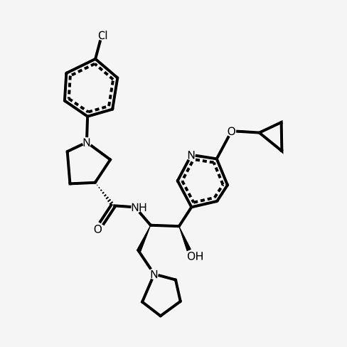 O=C(N[C@H](CN1CCCC1)[C@H](O)c1ccc(OC2CC2)nc1)[C@@H]1CCN(c2ccc(Cl)cc2)C1